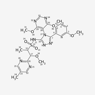 COc1cccc(-c2nnc(NS(=O)(=O)C(C)C(OC)c3ncc(C)cn3)n2-c2c(OC)ncnc2OC)c1